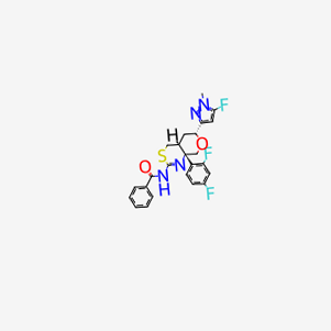 Cn1nc([C@H]2C[C@H]3CSC(NC(=O)c4ccccc4)=N[C@@]3(c3ccc(F)cc3F)CO2)cc1F